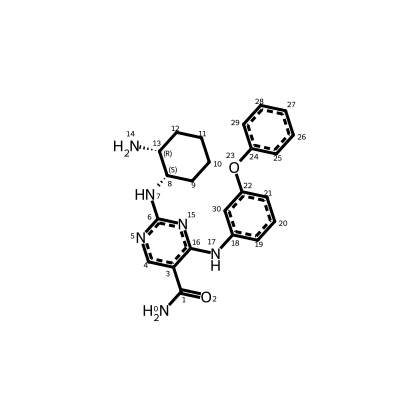 NC(=O)c1cnc(N[C@H]2CCCC[C@H]2N)nc1Nc1cccc(Oc2ccccc2)c1